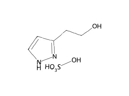 O=S(=O)(O)O.OCCc1cc[nH]n1